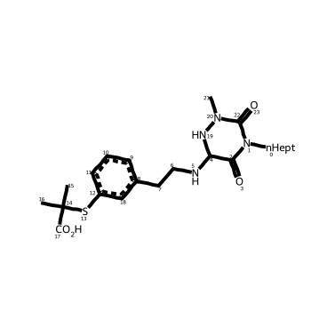 CCCCCCCN1C(=O)C(NCCc2cccc(SC(C)(C)C(=O)O)c2)NN(C)C1=O